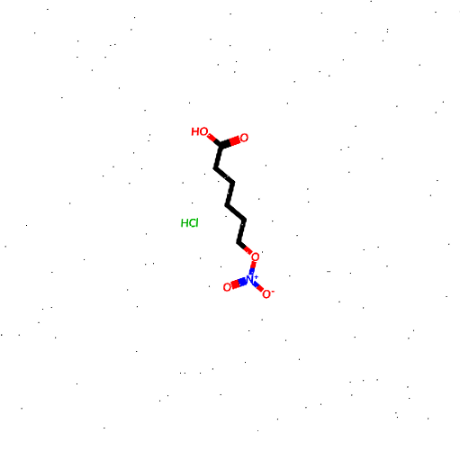 Cl.O=C(O)CCCCCO[N+](=O)[O-]